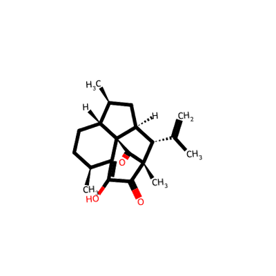 C=C(C)[C@H]1[C@@H]2C[C@H](C)[C@H]3CC[C@H](C)C4=C(O)C(=O)[C@]1(C)C(=O)[C@@]432